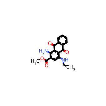 CCNc1cc(C(=O)OC)c(N)c2c1C(=O)c1ccccc1C2=O